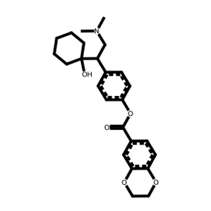 CN(C)CC(c1ccc(OC(=O)c2ccc3c(c2)OCCO3)cc1)C1(O)CCCCC1